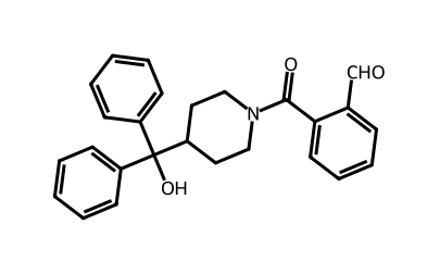 O=Cc1ccccc1C(=O)N1CCC(C(O)(c2ccccc2)c2ccccc2)CC1